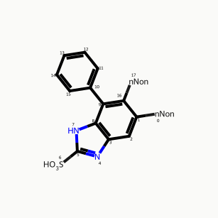 CCCCCCCCCc1cc2nc(S(=O)(=O)O)[nH]c2c(-c2ccccc2)c1CCCCCCCCC